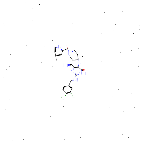 Cc1ccnc(C(=O)N2CCC(Nc3c(C=N)nc(NCc4ccc(Cl)c(Cl)c4)[nH]c3=O)CC2)c1